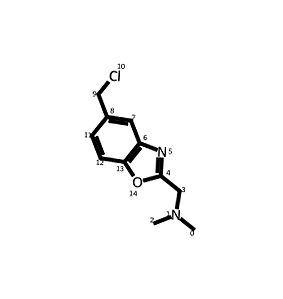 CN(C)Cc1nc2cc(CCl)ccc2o1